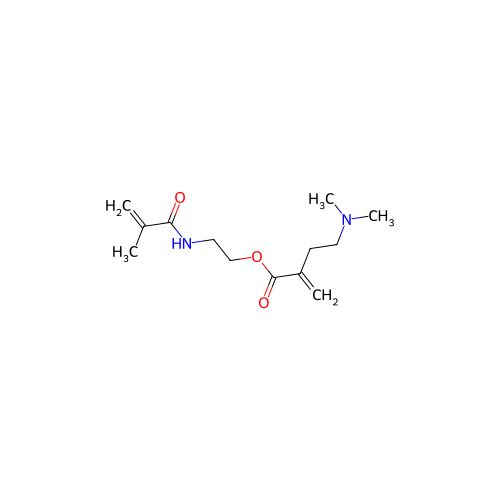 C=C(C)C(=O)NCCOC(=O)C(=C)CCN(C)C